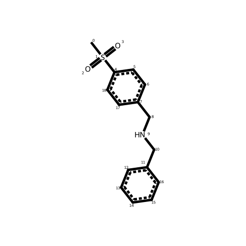 CS(=O)(=O)c1ccc(CNCc2ccccc2)cc1